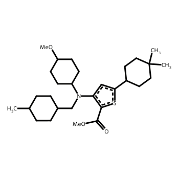 COC(=O)c1sc(C2CCC(C)(C)CC2)cc1N(CC1CCC(C)CC1)C1CCC(OC)CC1